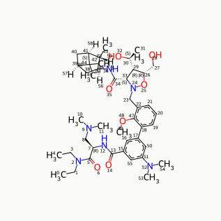 CCN(CC)C(=O)[C@@H](CN(C)C)NC(=O)c1cc(-c2cccc(CN3O[C@@H](CO)[C@@H]([C@H](C)O)[C@H]3C(=O)N[C@H]3C[C@H]4C[C@@H]([C@@H]3C)C4(C)C)c2OC)cc(N(C)C)c1